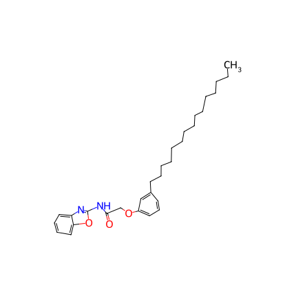 CCCCCCCCCCCCCCCc1cccc(OCC(=O)Nc2nc3ccccc3o2)c1